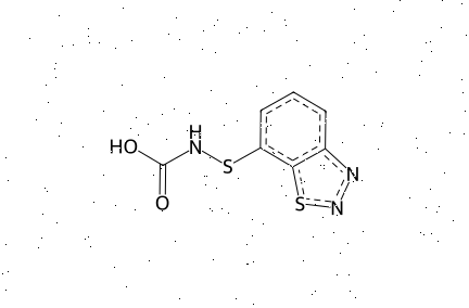 O=C(O)NSc1cccc2nnsc12